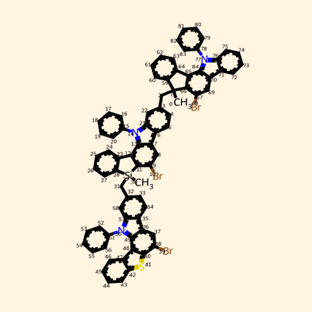 CC1(Cc2ccc3c4cc(Br)c5c(c4n(-c4ccccc4)c3c2)-c2ccccc2[Si]5(C)Cc2ccc3c4cc(Br)c5sc6ccccc6c5c4n(-c4ccccc4)c3c2)c2ccccc2-c2c1c(Br)cc1c3ccccc3n(-c3ccccc3)c21